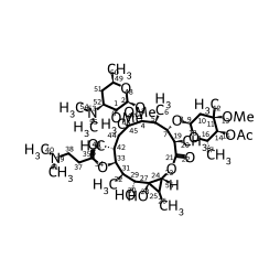 CO[C@H]1[C@H](O[C@@H]2[C@@H](C)[C@H](O[C@H]3C[C@@](C)(OC)[C@@H](OC(C)=O)[C@H](C)O3)[C@@H](C)C(=O)O[C@@H]3C(C)[C@]3(O)[C@H](O)[C@@H](C)[C@@H](OC(=O)CCN(C)C)[C@H](C)C[C@]2(C)OC)O[C@H](C)C[C@@H]1N(C)C